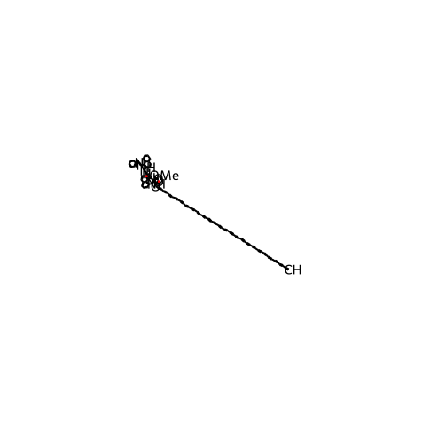 C#CC#CC#CC#CC#CC#CC#CC#CC#CC#CC#CC#CC#CC#CC#CC#CC#CC#CC#CC#CC#CC#CC#CC#COC(=O)C1(C(=O)OC)Nc2cccc3ccc(/N=N/c4ccc5ccccc5c4/N=N/c4ccccc4)c(c23)N1